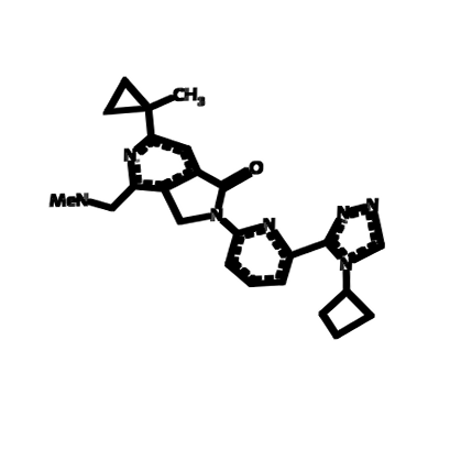 CNCc1nc(C2(C)CC2)cc2c1CN(c1cccc(-c3nncn3C3CCC3)n1)C2=O